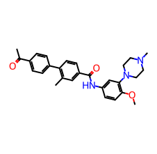 COc1ccc(NC(=O)c2ccc(-c3ccc(C(C)=O)cc3)c(C)c2)cc1N1CCN(C)CC1